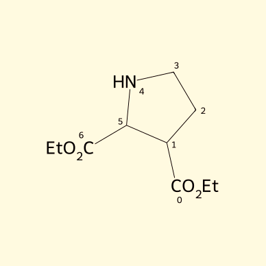 CCOC(=O)C1CCNC1C(=O)OCC